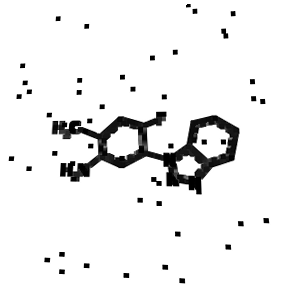 Cc1cc(F)c(-n2nnc3ccccc32)cc1N